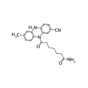 Cc1ccc(N(C(=O)CCCCCC(N)=O)c2cc(C#N)ccc2N)cc1